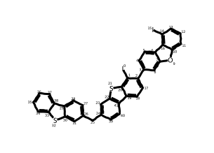 Ic1c(-c2ccc3c(c2)oc2cccc(I)c23)ccc2c1sc1cc(Cc3ccc4c(c3)sc3ccccc34)ccc12